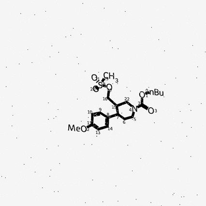 CCCCOC(=O)N1CCC(c2ccc(OC)cc2)C(COS(C)(=O)=O)C1